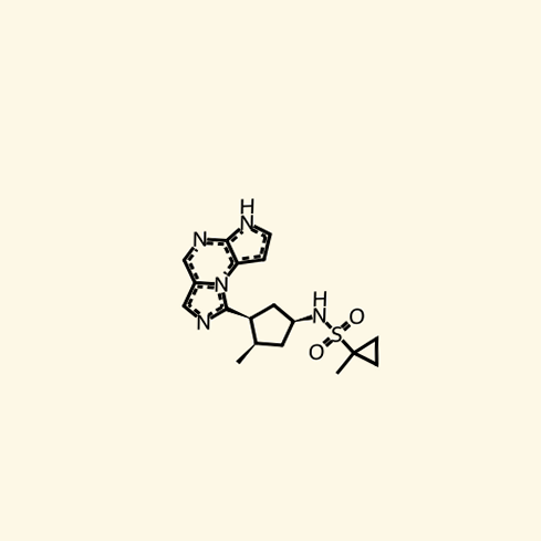 C[C@@H]1C[C@H](NS(=O)(=O)C2(C)CC2)C[C@@H]1c1ncc2cnc3[nH]ccc3n12